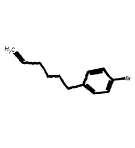 C=CCCCCc1ccc(Br)cc1